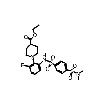 CCOC(=O)C1CCN(c2c(F)cccc2NS(=O)(=O)c2ccc(S(=O)(=O)N(C)C)cc2)CC1